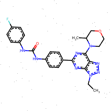 CCn1nnc2c(N3CCOCC3C)nc(-c3ccc(NC(=O)Nc4ccc(F)cc4)cc3)nc21